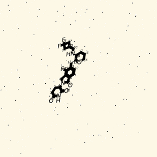 O=C1CCC(N2Cc3c(ccc(C[C@H]4OCCC[C@@H]4NCC4CC(F)(F)C4)c3F)C2=O)C(=O)N1